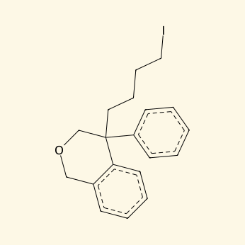 ICCCCC1(c2ccccc2)COCc2ccccc21